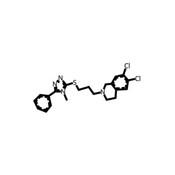 Cn1c(SCCCN2CCc3cc(Cl)c(Cl)cc3C2)nnc1-c1ccccc1